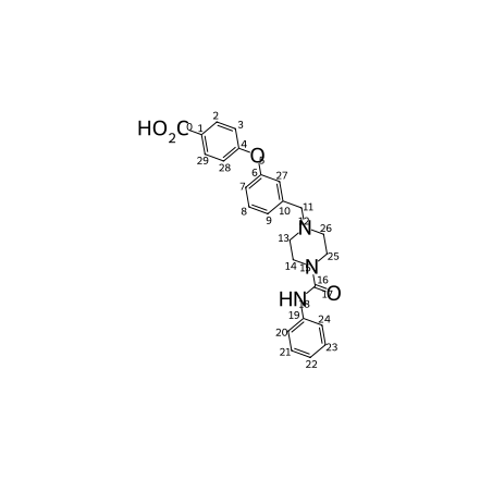 O=C(O)c1ccc(Oc2cccc(CN3CCN(C(=O)Nc4ccccc4)CC3)c2)cc1